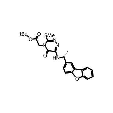 CSc1nnc(N[C@H](C)c2ccc3oc4ccccc4c3c2)c(=O)n1CC(=O)OC(C)(C)C